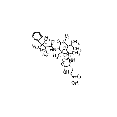 CN[C@H](C(=O)NC(C(=O)N(C)[C@H](/C=C(\C)C(=O)N[C@H](CCC(=O)O)C(=O)O)C(C)C)C(C)(C)C)C(C)(C)c1ccccc1